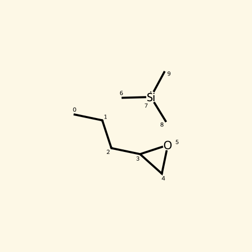 CCCC1CO1.C[Si](C)C